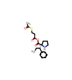 CCC(c1ccccc1)[C@]1(C(=O)OC(=O)CCSC(C)=O)CCCN1